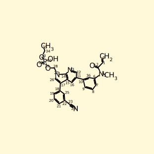 C=CC(=O)N(C)c1cccc(-c2cnc3c(c2)c(-c2cccc(C#N)c2)cn3COP(=O)(O)OCC)c1